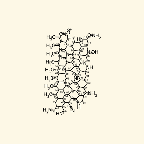 CCC1C2C3C4C(CC2[N+](=O)[O-])C2NC(ON)CC5C2C2C6C7C8C(CC6N5O)NC5CC6CC9C(N)C%10CNC%11C%12C(C#N)C%13C(C=N)C(CN)CC%14C(C)C%15C(C)C%16C(C)C%17C(C)C%18C%19C%20C%17CN%16C%16C%17C%21NC%22C(C6C%21C9C(C%10%11)C%17C%12C(C%14%13)C%15%16)C5C8C(C%22%20)C5C7C(C42)N2C3N(C1C)C(C)N(C%18C)C2C%195